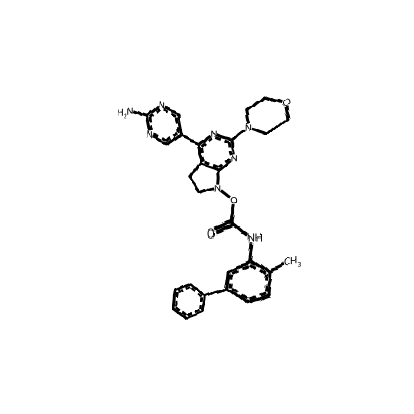 Cc1ccc(-c2ccccc2)cc1NC(=O)ON1CCc2c(-c3cnc(N)nc3)nc(N3CCOCC3)nc21